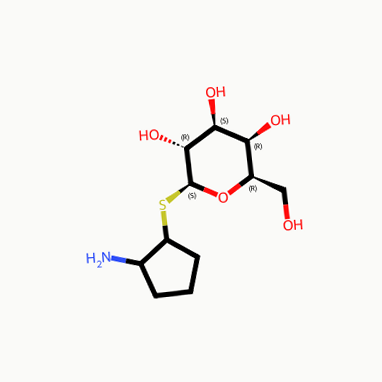 NC1CCCC1S[C@@H]1O[C@H](CO)[C@H](O)[C@H](O)[C@H]1O